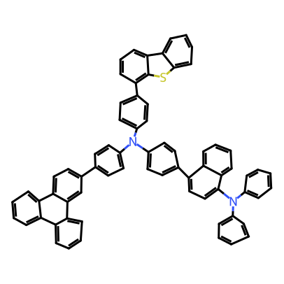 c1ccc(N(c2ccccc2)c2ccc(-c3ccc(N(c4ccc(-c5ccc6c7ccccc7c7ccccc7c6c5)cc4)c4ccc(-c5cccc6c5sc5ccccc56)cc4)cc3)c3ccccc23)cc1